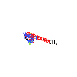 CCCCOCCOCCOCCOCCOCCOCCOCCOCCOCCOCCOCCOCCNC(=O)C(CSSCCCC(=O)OCc1ccc(-c2ccnc3ccc(-c4cnc(OC)c(N)c4)cc23)cn1)NC(=O)CCC(=O)NCc1cc(C(=O)NCC(=O)N2CC(F)(F)C[C@H]2C#N)ccn1